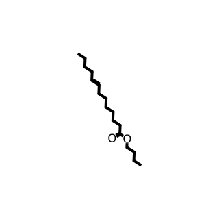 CCCCC=CCCCCCCC(=O)OCCCC